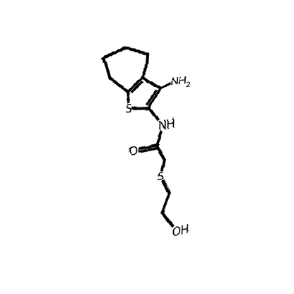 Nc1c(NC(=O)CSCCO)sc2c1CCCC2